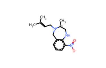 CC(C)=CCN1Cc2cccc([N+](=O)[O-])c2NC[C@@H]1C